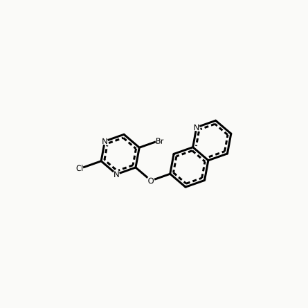 Clc1ncc(Br)c(Oc2ccc3cccnc3c2)n1